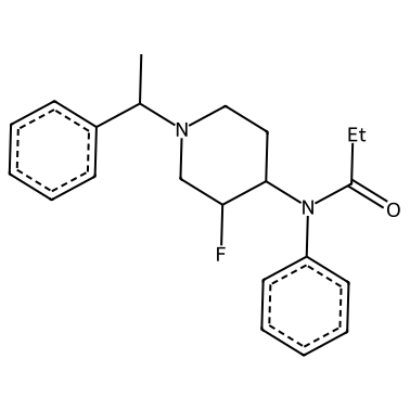 CCC(=O)N(c1ccccc1)C1CCN(C(C)c2ccccc2)CC1F